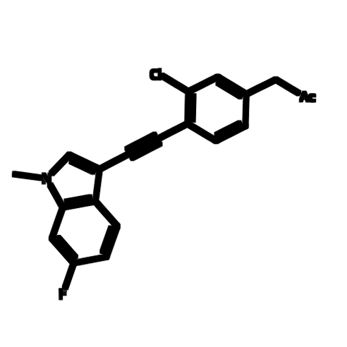 CC(=O)Cc1ccc(C#Cc2cn(C)c3cc(F)ccc23)c(Cl)c1